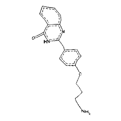 NCCCOc1ccc(-c2nc3ccccc3c(=O)[nH]2)cc1